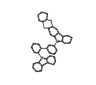 c1cc(-c2ccccc2-n2c3ccccc3c3ccccc32)cc(-n2c3ccccc3c3cc4c(cc32)Cc2ccccc2S4)c1